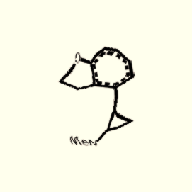 CNC1CC1c1cccc2c1CCO2